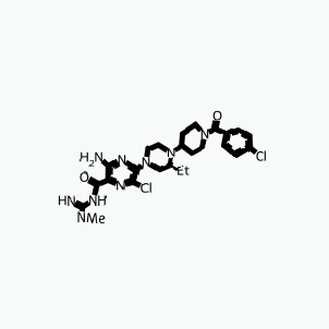 CC[C@H]1CN(c2nc(N)c(C(=O)NC(=N)NC)nc2Cl)CCN1C1CCN(C(=O)c2ccc(Cl)cc2)CC1